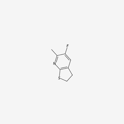 Cc1nc2c(cc1F)CCS2